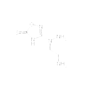 NCCN(N)c1noc(=S)[nH]1